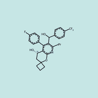 CC(C)c1nc2c(c(-c3ccc(F)cc3)c1C(O)c1ccc(C(F)(F)F)cc1)[C@@H](O)CC1(CCC1)O2